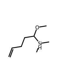 C=CCCC(OC)[SiH](C)C